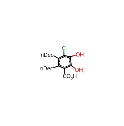 CCCCCCCCCCc1c(Cl)c(O)c(O)c(C(=O)O)c1CCCCCCCCCC